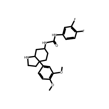 COc1ccc(C23CCNC2CC(NC(=O)Nc2ccc(F)c(F)c2)CC3)cc1OC